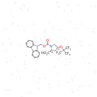 O=C(O)[C@@H]1C[C@H](OC(C(F)(F)F)(C(F)(F)F)C(F)(F)F)CN1C(=O)OCC1c2ccccc2-c2ccccc21